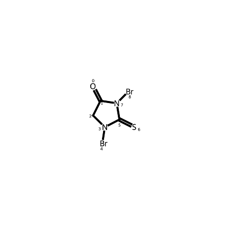 O=C1CN(Br)C(=S)N1Br